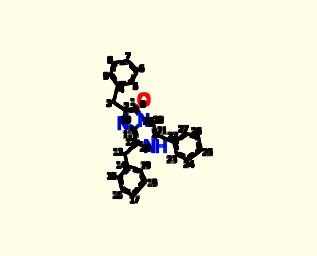 O=c1c(Cc2ccccc2)nc2c(Cc3ccccc3)[nH]c(-c3ccccc3)cn1-2